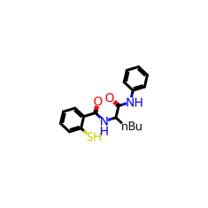 CCCCC(NC(=O)c1ccccc1S)C(=O)Nc1ccccc1